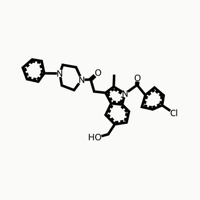 Cc1c(CC(=O)N2CCN(c3ccccc3)CC2)c2cc(CO)ccc2n1C(=O)c1ccc(Cl)cc1